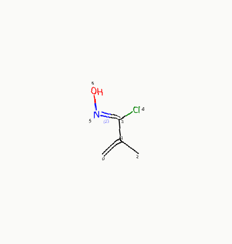 C=C(C)/C(Cl)=N/O